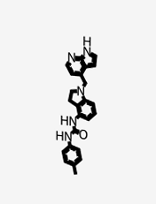 Cc1ccc(NC(=O)Nc2cccc3c2CCN3Cc2ccnc3[nH]ccc23)cc1